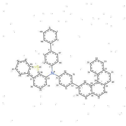 c1ccc(-c2ccc(N(c3ccc(-c4ccc5ccc6ccc7ccccc7c6c5c4)cc3)c3cccc4c3sc3ccccc34)cc2)cc1